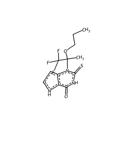 CCCOC(C)(n1c(=S)[nH]c(=O)c2[nH]ccc21)C(F)(F)F